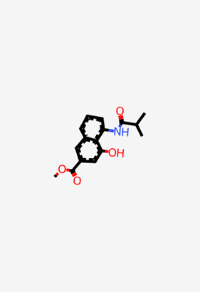 COC(=O)c1cc(O)c2c(NC(=O)C(C)C)cccc2c1